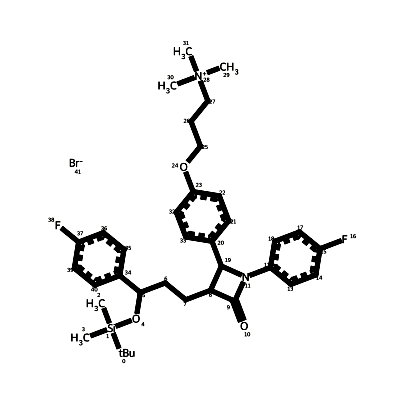 CC(C)(C)[Si](C)(C)OC(CCC1C(=O)N(c2ccc(F)cc2)C1c1ccc(OCCC[N+](C)(C)C)cc1)c1ccc(F)cc1.[Br-]